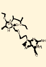 CCOC(=O)C(C)NP(=O)(COCCn1cnc2c(=O)[nH]c(N)nc21)NC(C)C(C)OCC